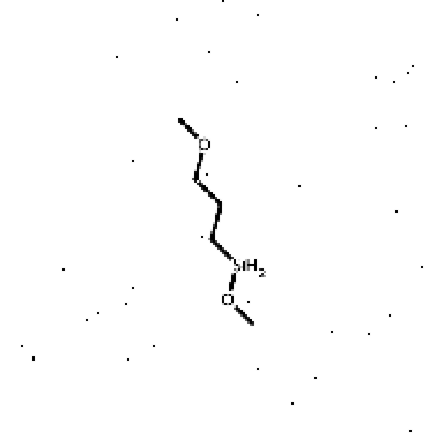 COCCC[SiH2]OC